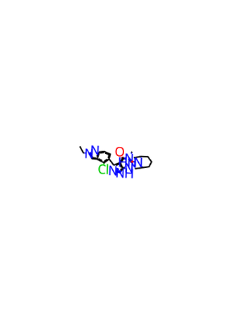 CCn1cc2c(Cl)c(-c3n[nH]c4nc(N5C6CCCC5CNC6)n(C)c(=O)c34)ccc2n1